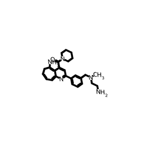 CN(CCN)Cc1cccc(-c2cc(C(=O)N3CCCCC3)c3c(n2)=CC=CCC=3N)c1